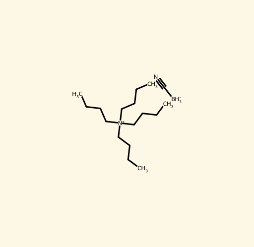 CCCC[N+](CCCC)(CCCC)CCCC.[BH3-]C#N